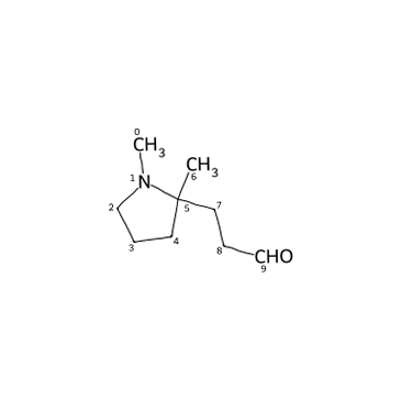 CN1CCCC1(C)CCC=O